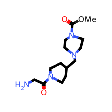 COC(=O)N1CCN(CC2CCN(C(=O)CN)CC2)CC1